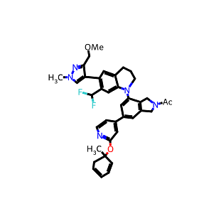 COCc1nn(C)cc1-c1cc2c(cc1C(F)F)N(c1cc(-c3ccnc(OC4(C)C=CC=CC4)c3)cc3c1CN(C(C)=O)C3)CCC2